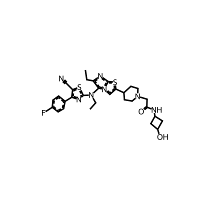 CCc1nc2sc(C3CCN(CC(=O)NC4CC(O)C4)CC3)cn2c1N(CC)c1nc(-c2ccc(F)cc2)c(C#N)s1